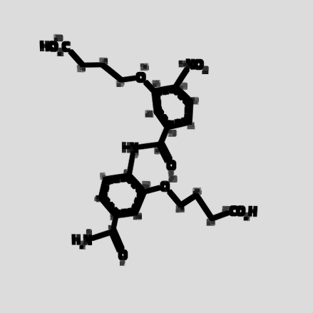 NC(=O)c1ccc(NC(=O)c2ccc([N+](=O)[O-])c(OCCCC(=O)O)c2)c(OCCCC(=O)O)c1